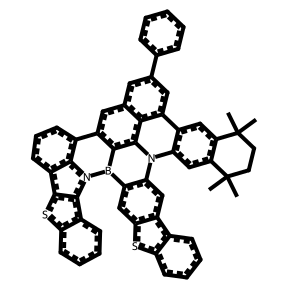 CC1(C)CCC(C)(C)c2cc3c(cc21)-c1cc(-c2ccccc2)cc2cc4c5c(c12)N3c1cc2c(cc1B5n1c3c-4cccc3c3sc4ccccc4c31)sc1ccccc12